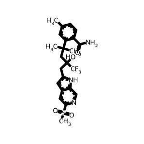 Cc1ccc(C(N)=O)c(C(C)(C)CC(O)(Cc2cc3cc(S(C)(=O)=O)ncc3[nH]2)C(F)(F)F)c1